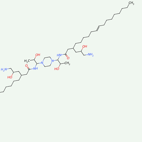 CCCCCCCCC=CCCCCCC(CC(=O)NC(C(C)O)N1CCN(C(NC(=O)CC(CCCCC/C=C\CCCCCCCC)CC(O)CN)C(C)O)CC1)CC(O)CN